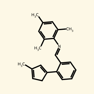 CC1=CCC(c2ccccc2/C=N/c2c(C)cc(C)cc2C)=C1